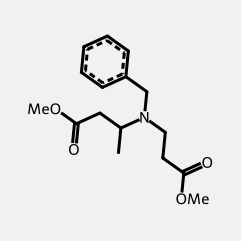 COC(=O)CCN(Cc1ccccc1)C(C)CC(=O)OC